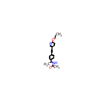 CCCOc1ccc(C#Cc2ccc(C(C)NC(C)=O)cc2)cn1